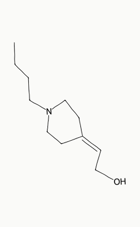 CCCCN1CCC(=CCO)CC1